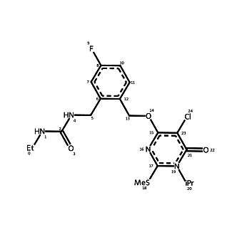 CCNC(=O)NCc1cc(F)ccc1COc1nc(SC)n(C(C)C)c(=O)c1Cl